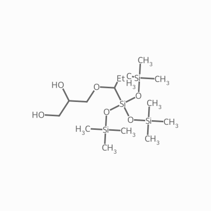 CCC(OCC(O)CO)[Si](O[Si](C)(C)C)(O[Si](C)(C)C)O[Si](C)(C)C